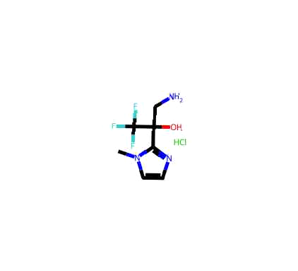 Cl.Cn1ccnc1C(O)(CN)C(F)(F)F